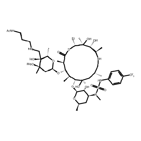 CC[C@H]1OC(=O)[C@H](C)[C@@H](O[C@H]2C[C@@](C)(OC)[C@](O)(CNCCCNC(C)=O)[C@H](C)O2)[C@H](C)[C@@H](O[C@@H]2O[C@H](C)C[C@H](N(C)S(=O)(=O)Nc3ccc(C(F)(F)F)cc3)[C@H]2O)[C@](C)(O)C[C@@H](C)CN[C@H](C)[C@@H](O)[C@]1(C)O